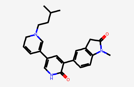 CC(C)CCN1C=C(c2c[nH]c(=O)c(-c3ccc4c(c3)CC(=O)N4C)c2)C=CC1